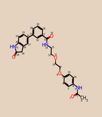 CC(=O)Nc1ccc(OCCOCCNC(=O)c2cccc(-c3ccc4c(c3)CC(=O)N4)c2)cc1